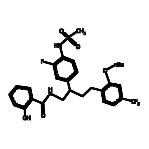 CCCCOc1cc(C(F)(F)F)ccc1CCC(CNC(=O)c1ccccc1O)c1ccc(NS(C)(=O)=O)c(F)c1